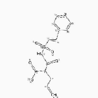 C=CCC(C(=O)O)C(=O)NS(=O)(=O)/C=C/c1ccccc1